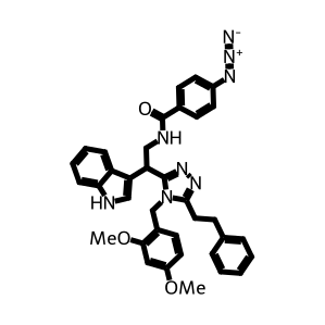 COc1ccc(Cn2c(CCc3ccccc3)nnc2C(CNC(=O)c2ccc(N=[N+]=[N-])cc2)c2c[nH]c3ccccc23)c(OC)c1